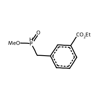 CCOC(=O)c1cccc(C[PH](=O)OC)c1